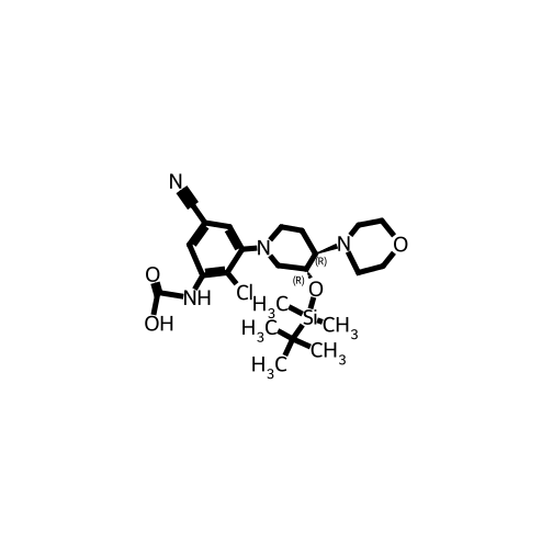 CC(C)(C)[Si](C)(C)O[C@@H]1CN(c2cc(C#N)cc(NC(=O)O)c2Cl)CC[C@H]1N1CCOCC1